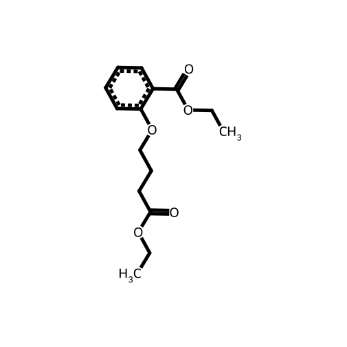 CCOC(=O)CCCOc1ccccc1C(=O)OCC